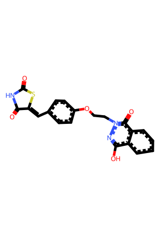 O=C1NC(=O)/C(=C/c2ccc(OCCn3nc(O)c4ccccc4c3=O)cc2)S1